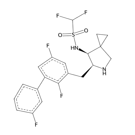 O=S(=O)(N[C@@H]1[C@H](Cc2cc(F)cc(-c3cccc(F)c3)c2F)NCC12CC2)C(F)F